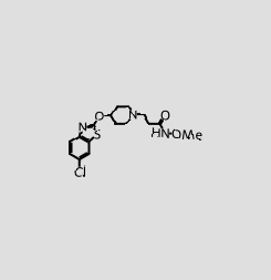 CONC(=O)CCN1CCC(Oc2nc3ccc(Cl)cc3s2)CC1